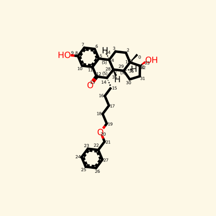 C[C@]12CC[C@@H]3c4ccc(O)cc4C(=O)[C@@H](CCCCCOCc4ccccc4)[C@H]3[C@@H]1CC[C@@H]2O